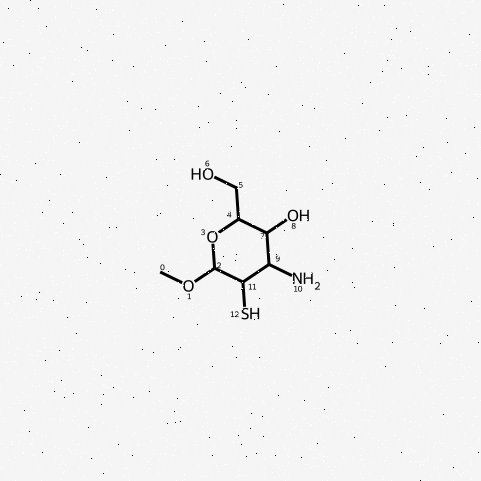 COC1OC(CO)C(O)C(N)C1S